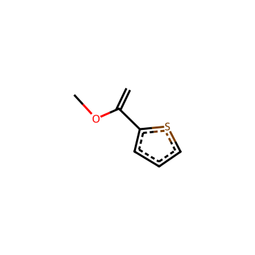 C=C(OC)c1cccs1